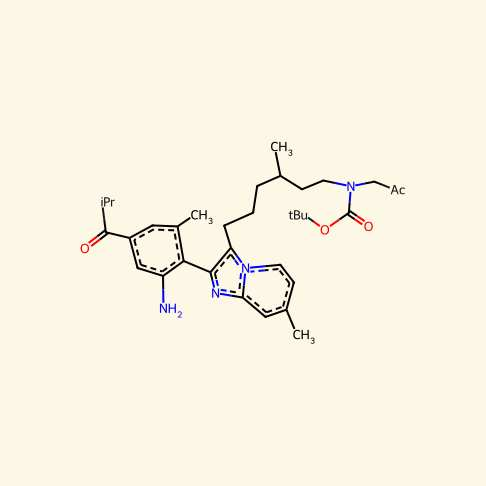 CC(=O)CN(CCC(C)CCCc1c(-c2c(C)cc(C(=O)C(C)C)cc2N)nc2cc(C)ccn12)C(=O)OC(C)(C)C